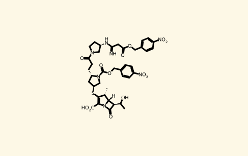 CC(O)[C@H]1C(=O)N2C(C(=O)O)=C(S[C@H]3C[C@H](CCC(=O)N4CC[C@H](NC(=N)CC(=O)OCc5ccc([N+](=O)[O-])cc5)C4)N(C(=O)OCc4ccc([N+](=O)[O-])cc4)C3)[C@H](C)[C@H]12